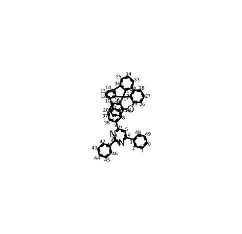 c1ccc(-c2cc(-c3ccc(-c4cccc5c4C4(c6ccccc6Oc6ccccc64)c4ccccc4-5)cc3)nc(-c3ccccc3)n2)cc1